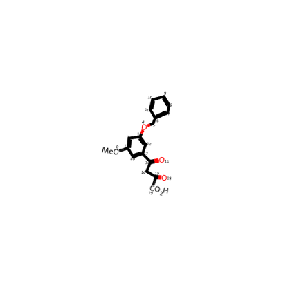 COc1cc(OCc2ccccc2)cc(C(=O)CC(=O)C(=O)O)c1